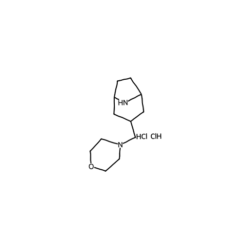 C1CN(CC2CC3CCC(C2)N3)CCO1.Cl.Cl